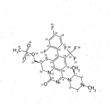 C[C@H]1CN(C)CCN1c1nc(=O)n2c3c(c(-c4ccc(F)cc4F)c(C(F)(F)F)cc13)S[C@H](COS(C)(=O)=O)C2